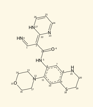 N=C/C(C(=O)Nc1cc2c(cc1N1CCOCC1)SCCN2)=C1/N=CC=CN1